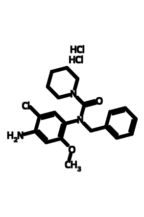 COc1cc(N)c(Cl)cc1N(Cc1ccccc1)C(=O)N1CCCCC1.Cl.Cl